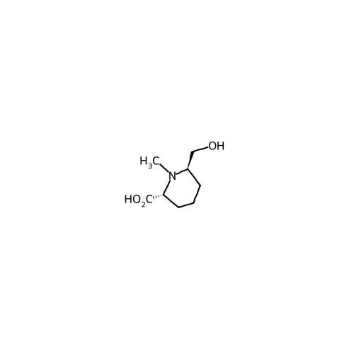 CN1[C@@H](CO)CCC[C@@H]1C(=O)O